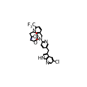 O=C(O/C1=C\CCCCCC1)N(Cc1ccc(C(F)(F)F)nc1)c1ccc(Cc2c[nH]c3ncc(Cl)cc23)cn1